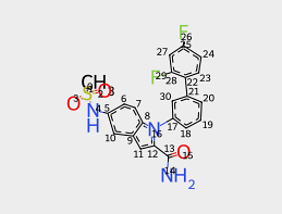 CS(=O)(=O)Nc1ccc2c(c1)cc(C(N)=O)n2-c1cccc(-c2ccc(F)cc2F)c1